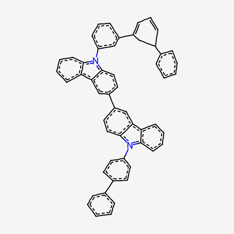 C1=CC(c2ccccc2)CC(c2cccc(-n3c4ccccc4c4cc(-c5ccc6c(c5)c5ccccc5n6-c5ccc(-c6ccccc6)cc5)ccc43)c2)=C1